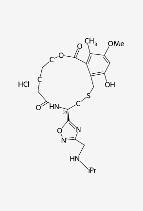 COc1cc(O)c2c(c1C)C(=O)OCCCCC(=O)N[C@H](c1nc(CNC(C)C)no1)CSC2.Cl